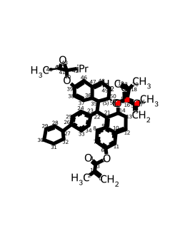 C=C(C)C(=O)Oc1ccc2c(c1)=CCC(OC(=O)C(=C)C)C=2C(c1ccc(C2C=CCCC2)cc1)C1C2C=CC(OC3(C(C)C)O[C@@H]3C)=CC2=CC[C@@H]1OC(=O)C(=C)C